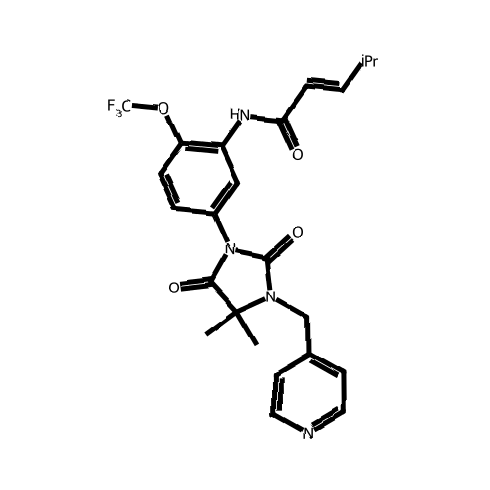 CC(C)C=CC(=O)Nc1cc(N2C(=O)N(Cc3ccncc3)C(C)(C)C2=O)ccc1OC(F)(F)F